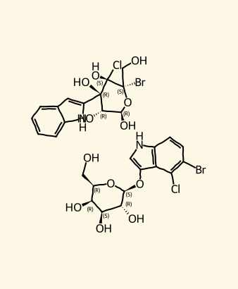 OC[C@@]1(Br)O[C@@H](O)[C@H](O)[C@](O)(c2cc3ccccc3[nH]2)[C@]1(O)Cl.OC[C@H]1O[C@@H](Oc2c[nH]c3ccc(Br)c(Cl)c23)[C@H](O)[C@@H](O)[C@H]1O